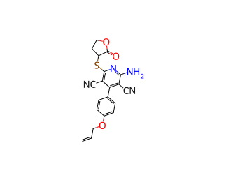 C=CCOc1ccc(-c2c(C#N)c(N)nc(SC3CCOC3=O)c2C#N)cc1